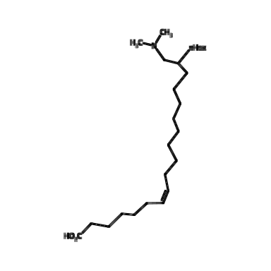 CCCCCCC(CCCCCCCC/C=C\CCCCCC(=O)O)CN(C)C